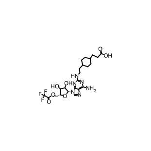 Nc1nc(NCCC2CCC(CCC(=O)O)CC2)nc2c1ncn2[C@@H]1O[C@H](COC(=O)C(F)(F)F)C(O)C1O